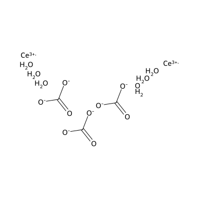 O.O.O.O.O.O.O=C([O-])[O-].O=C([O-])[O-].O=C([O-])[O-].[Ce+3].[Ce+3]